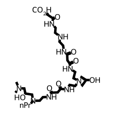 CCCN(CCNC(=O)CC(=O)NCC[N+]1(CCNC(=O)CC(=O)NCCNCCNC(=O)CC(=O)O)CC(O)C1)CC(O)CN(C)C